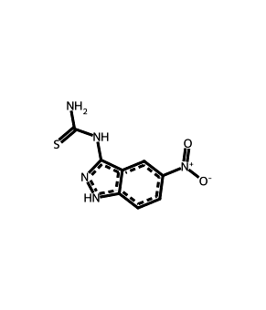 NC(=S)Nc1n[nH]c2ccc([N+](=O)[O-])cc12